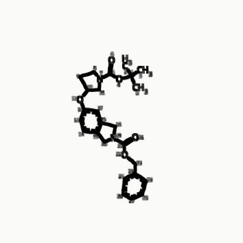 CC(C)(C)OC(=O)N1CCC(Oc2ccc3c(c2)CN(C(=O)OCc2ccccc2)C3)C1